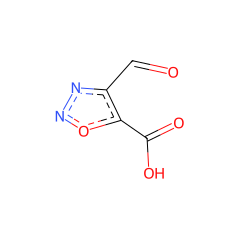 O=Cc1nnoc1C(=O)O